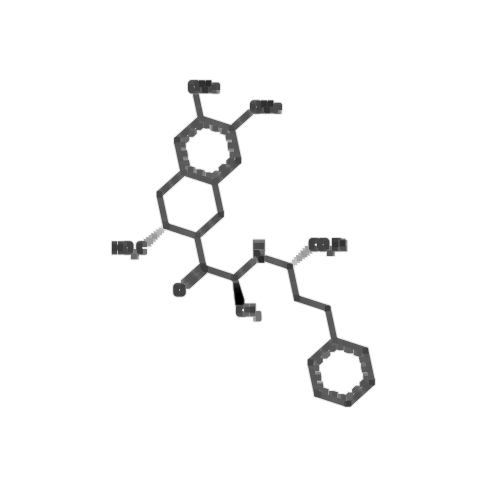 CCOC(=O)[C@H](CCc1ccccc1)N[C@@H](C)C(=O)C1Cc2cc(OC)c(OC)cc2C[C@H]1C(=O)O